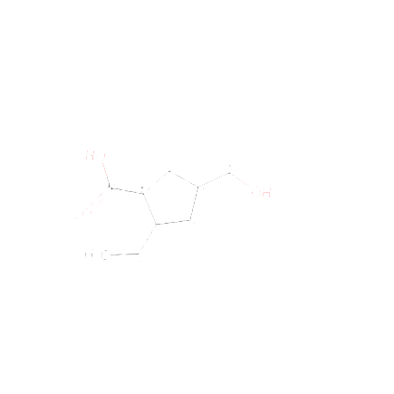 CCC1CC(CO)CC1C(=O)O